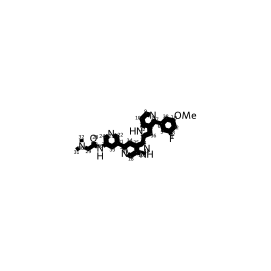 COc1cc(F)cc(-c2nccc3[nH]c(-c4n[nH]c5cnc(-c6cncc(NC(=O)CN(C)C)c6)cc45)cc23)c1